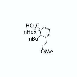 CCCCCCC1(C(=O)O)C=CC=C(CCOC)C1CCCC